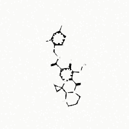 CCCCOc1c2n(cc(C(=O)NCc3ccc(F)cc3F)c1=O)C1(CC1)C1OCCCN1C2=O